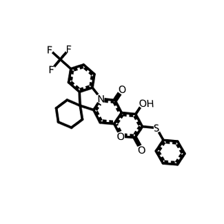 O=c1oc2cc3n(c(=O)c2c(O)c1Sc1ccccc1)-c1ccc(C(F)(F)F)cc1C31CCCCC1